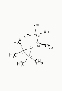 C[C@@H](C1C(C)(C)C1(C)C)C(F)(F)F